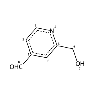 O=Cc1ccnc(CO)c1